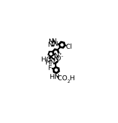 O=C(O)Nc1ccc(-c2cnc(C3(O)CCc4cc(-c5cc(Cl)ccc5-n5cnnn5)c[n+]([O-])c43)[nH]2)c(F)c1